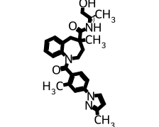 Cc1ccn(-c2ccc(C(=O)N3CCC(C)(C(=O)N[C@@H](C)CO)Cc4ccccc43)c(C)c2)n1